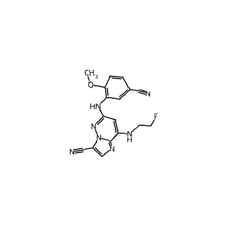 COc1ccc(C#N)cc1Nc1cc(NCCF)c2ncc(C#N)n2n1